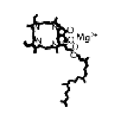 C=CC1=C(C)c2cc3[n-]c(c4c5nc(cc6[n-]c(cc1n2)c(C)c6CC)C(C)=C5C(=O)C4C(=O)OC)C(CCC(=O)OC/C=C(\C)CCCC(C)CCCC(C)CCCC(C)C)C3C.[Mg+2]